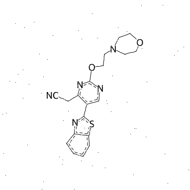 N#CCc1nc(OCCN2CCOCC2)ncc1-c1nc2ccccc2s1